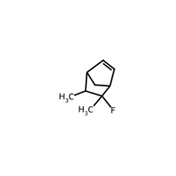 CC1C2C=CC(C2)C1(C)F